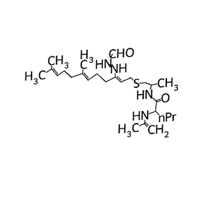 C=C(C)NC(CCC)C(=O)NC(C)CSC/C=C(/CC/C=C(\C)CCC=C(C)C)NNC=O